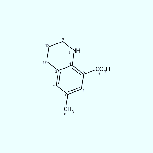 Cc1cc2c(c(C(=O)O)c1)NCCC2